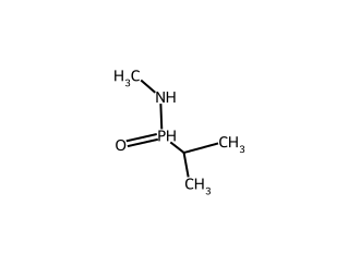 CN[PH](=O)C(C)C